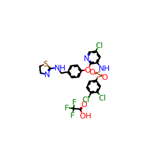 O=C(O)C(F)(F)F.O=S(=O)(Nc1cc(Cl)cnc1Oc1ccc(CNC2=NCCS2)cc1)c1ccc(Cl)c(Cl)c1